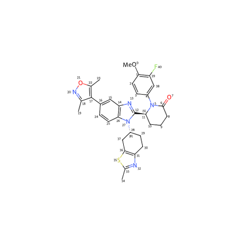 COc1ccc(N2C(=O)CCC[C@H]2c2nc3cc(-c4c(C)noc4C)ccc3n2[C@@H]2CCc3nc(C)sc3C2)cc1F